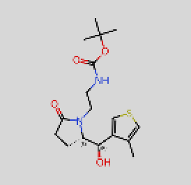 Cc1cscc1[C@@H](O)[C@@H]1CCC(=O)N1CCNC(=O)OC(C)(C)C